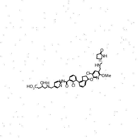 COc1nc(O[C@H]2CCc3c(-c4cccc(C(=O)Nc5ccc(CNCC(O)CC(=O)O)cn5)c4Cl)cccc32)c(Cl)cc1CNC[C@@H]1CCC(=O)N1